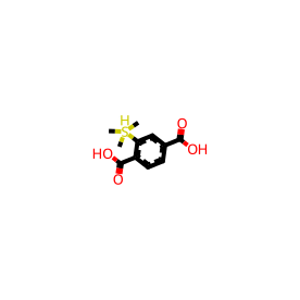 C[SH](C)(C)(C)c1cc(C(=O)O)ccc1C(=O)O